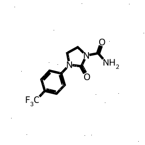 NC(=O)N1CCN(c2ccc(C(F)(F)F)cc2)C1=O